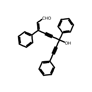 O=C/C=C(\C#CC(O)(C#Cc1ccccc1)c1ccccc1)c1ccccc1